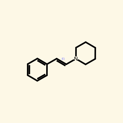 C(=C\N1CCCCC1)/c1ccccc1